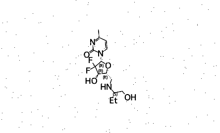 CC[C@@H](CO)NC[C@H]1O[C@@H](n2ccc(C)nc2=O)C(F)(F)[C@@H]1O